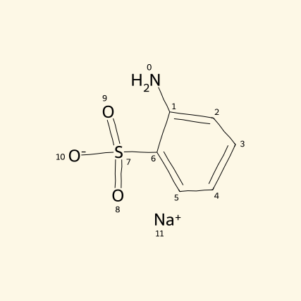 Nc1ccccc1S(=O)(=O)[O-].[Na+]